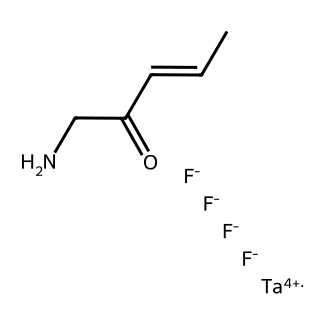 CC=CC(=O)CN.[F-].[F-].[F-].[F-].[Ta+4]